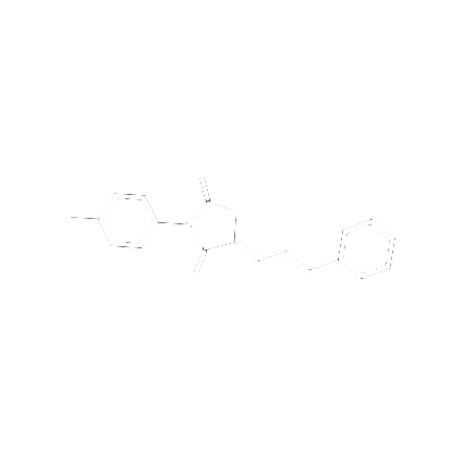 O=C1/C(=C/C=C/c2ccccc2)SC(=S)N1c1ccc(O)cc1